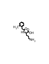 Cc1ccccc1CC(=O)NC(CCCN)C(=O)O